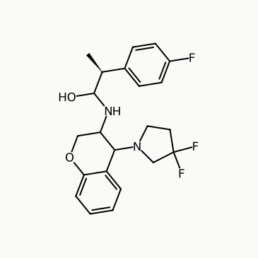 C[C@@H](c1ccc(F)cc1)C(O)NC1COc2ccccc2C1N1CCC(F)(F)C1